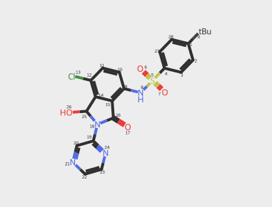 CC(C)(C)c1ccc(S(=O)(=O)Nc2ccc(Cl)c3c2C(=O)N(c2cnccn2)C3O)cc1